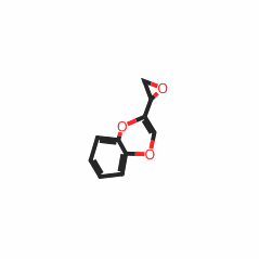 C1=C(C2CO2)Oc2ccccc2O1